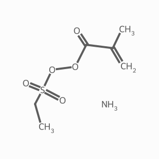 C=C(C)C(=O)OOS(=O)(=O)CC.N